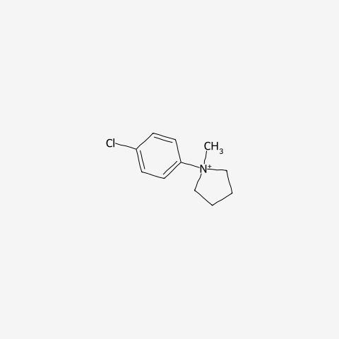 C[N+]1(c2ccc(Cl)cc2)CCCC1